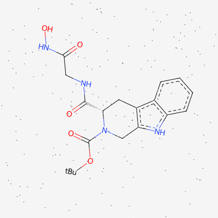 CC(C)(C)OC(=O)N1Cc2[nH]c3ccccc3c2C[C@H]1C(=O)NCC(=O)NO